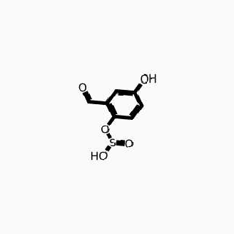 O=Cc1cc(O)ccc1OS(=O)O